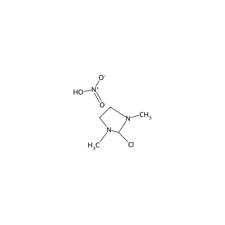 CN1CCN(C)C1Cl.O=[N+]([O-])O